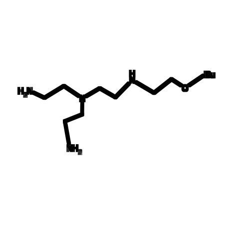 CCC(C)OCCNCCN(CCN)CCN